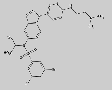 CN(C)CCNc1ccc(-n2ccc3cc(N(C(C(=O)O)C(C)(C)C)S(=O)(=O)c4cc(Cl)cc(Br)c4)ccc32)nn1